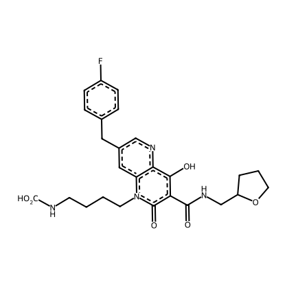 O=C(O)NCCCCn1c(=O)c(C(=O)NCC2CCCO2)c(O)c2ncc(Cc3ccc(F)cc3)cc21